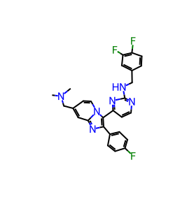 CN(C)Cc1ccn2c(-c3ccnc(NCc4ccc(F)c(F)c4)n3)c(-c3ccc(F)cc3)nc2c1